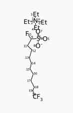 CC[N+](CC)(CC)CC.O=S(=O)([O-])C(F)CCCCCCCCCC(F)(F)F